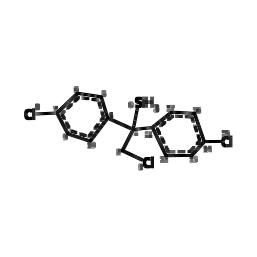 [SiH3]C(CCl)(c1ccc(Cl)cc1)c1ccc(Cl)cc1